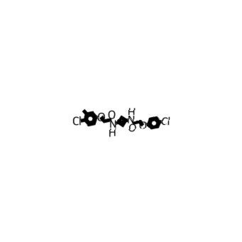 Cc1cc(OCC(=O)NC23CC(NC(=O)COc4ccc(Cl)cc4)(C2)C3)ccc1Cl